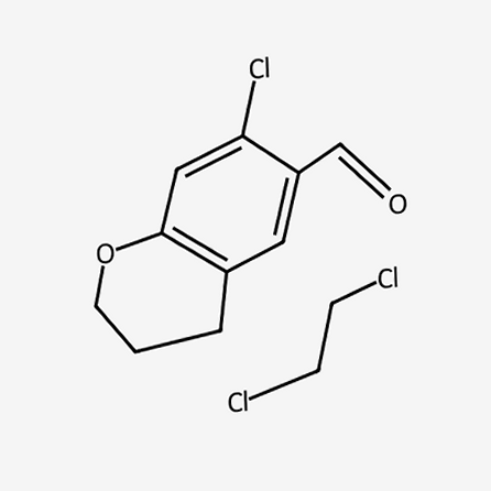 ClCCCl.O=Cc1cc2c(cc1Cl)OCCC2